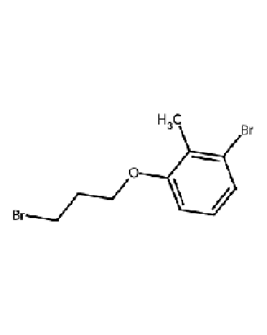 Cc1c(Br)cccc1OCCCBr